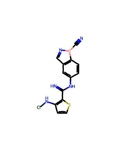 N#CB1N=Cc2cc(NC(=N)c3sccc3NCl)ccc21